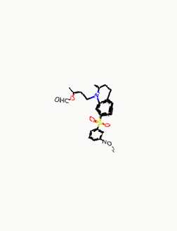 CC(CCN1c2cc(S(=O)(=O)c3cccc([N+](=O)[O-])c3)ccc2CCC1C)OC=O